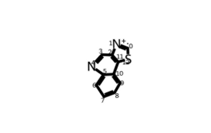 C1=[N+]c2cnc3ccccc3c2S1